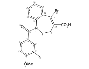 COc1ccc(C(=O)N2CCC(C(=O)O)=C(Br)c3ccccc32)cc1C